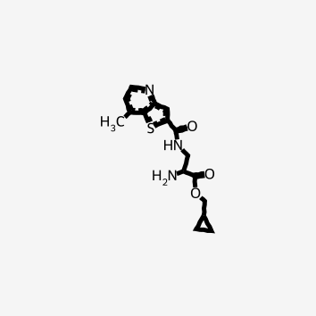 Cc1ccnc2cc(C(=O)NCC(N)C(=O)OCC3CC3)sc12